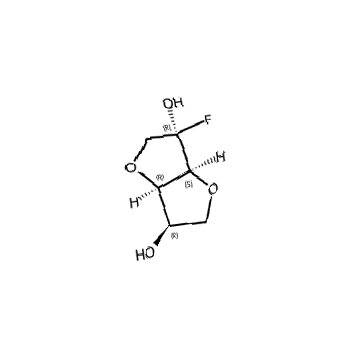 O[C@@H]1CO[C@H]2[C@@H]1OC[C@@]2(O)F